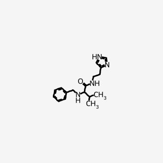 CC(C)C(NCc1ccccc1)C(=O)NCCc1c[nH]cn1